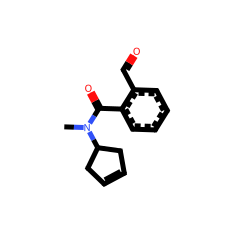 CN(C(=O)c1ccccc1C=O)C1CC=CC1